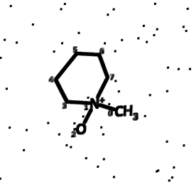 C[N+]1([O])CCCCC1